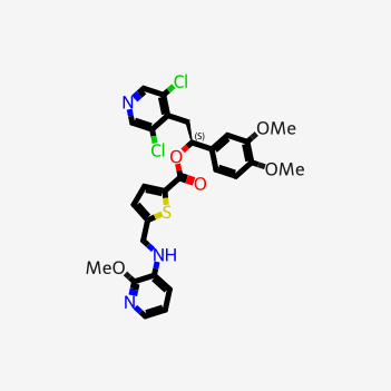 COc1ccc([C@H](Cc2c(Cl)cncc2Cl)OC(=O)c2ccc(CNc3cccnc3OC)s2)cc1OC